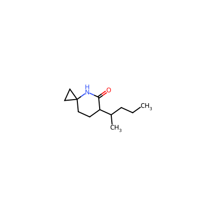 CCCC(C)C1CCC2(CC2)NC1=O